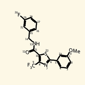 COc1cccc(-c2nc(C(F)(F)F)c(C(=O)NCc3cccc(F)c3)s2)c1